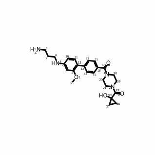 COc1cc(NCCCN)ccc1-c1ccc(C(=O)N2CCN(C(=O)C3(O)CC3)CC2)cc1